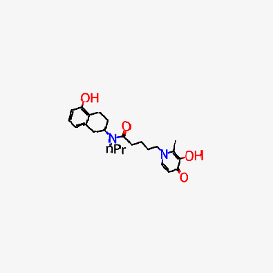 CCCN(C(=O)CCCCn1ccc(=O)c(O)c1C)C1CCc2c(O)cccc2C1